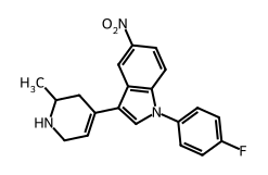 CC1CC(c2cn(-c3ccc(F)cc3)c3ccc([N+](=O)[O-])cc23)=CCN1